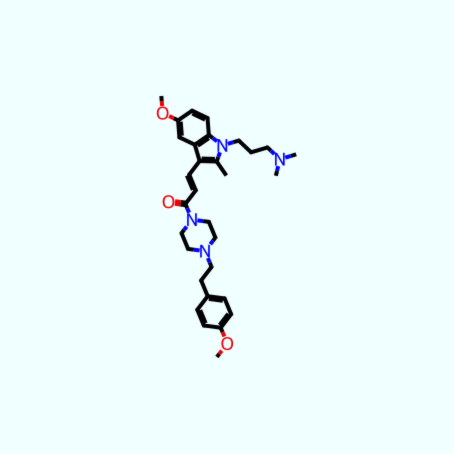 COc1ccc(CCN2CCN(C(=O)C=Cc3c(C)n(CCCN(C)C)c4ccc(OC)cc34)CC2)cc1